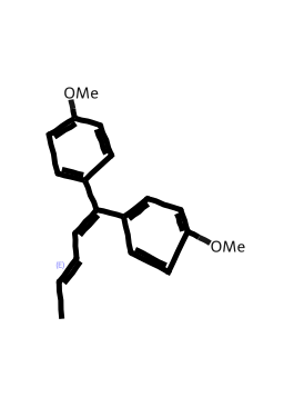 C/C=C/C=C(c1ccc(OC)cc1)c1ccc(OC)cc1